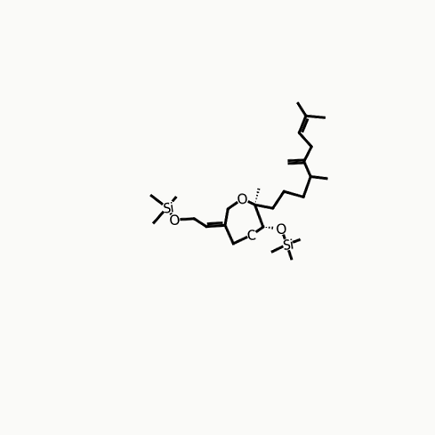 C=C(CC=C(C)C)C(C)CCC[C@]1(C)OCC(=CCO[Si](C)(C)C)CC[C@H]1O[Si](C)(C)C